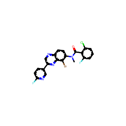 CN(C(=O)c1c(F)cccc1Cl)c1ccc2ncc(-c3ccc(F)nc3)nc2c1Br